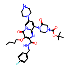 CCCCOc1c(C(=O)NCc2ccc(F)cc2)nc2c(N3CCN(C(=O)OC(C)(C)C)CC3=O)cc(N3CCN(C)CC3)cn2c1=O